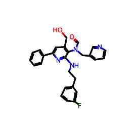 O=CN(Cc1cccnc1)c1c(CO)cc(-c2ccccc2)nc1NCCc1cccc(F)c1